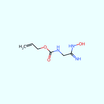 C=CCOC(=O)NCC(=N)NO